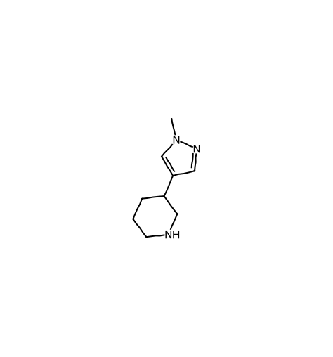 Cn1cc(C2CCCNC2)cn1